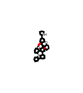 C1=CCNC(c2ccc3c(c2)OC2=C(C=CCC2)C32c3ccccc3Oc3cc(-c4cccc5c6ccccc6n(-c6ccccc6)c45)ccc32)=C1